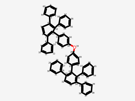 c1ccc(-c2ccc(-c3ccccc3)c(-c3ccc(Oc4ccc(-c5c(-c6ccccc6)ccc(-c6ccccc6)c5-c5ccccc5)cc4)cc3)c2-c2ccccc2)cc1